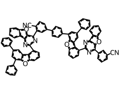 N#Cc1cccc(-c2nc(-c3cccc4oc5c(-c6ccc(-c7ccc(C#N)c(-c8nc(-c9cccc%10oc%11c(-c%12ccccc%12)cc(-c%12ccccc%12)cc%11c9%10)nc9c8oc8ccccc89)c7)cc6)cc(-c6ccccc6)cc5c34)nc3c2oc2ccccc23)c1